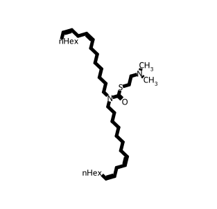 CCCCCC/C=C\C/C=C\CCCCCCCN(CCCCCCC/C=C\C/C=C\CCCCCC)C(=O)SCCN(C)C